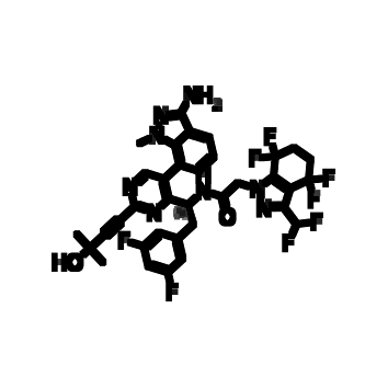 Cn1nc(N)c2cccc(-c3cnc(C#CC(C)(C)O)nc3[C@H](Cc3cc(F)cc(F)c3)NC(=O)Cn3nc(C(F)F)c4c3C(F)(F)CCC4(F)F)c21